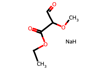 CCOC(=O)C(C=O)OC.[NaH]